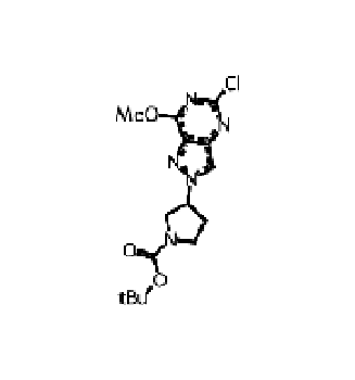 COc1nc(Cl)nc2cn(C3CCN(C(=O)OC(C)(C)C)C3)nc12